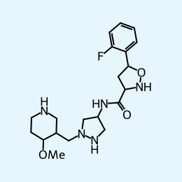 COC1CCNCC1CN1CC(NC(=O)C2CC(c3ccccc3F)ON2)CN1